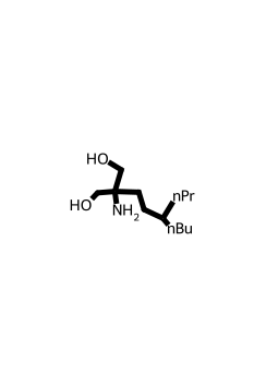 CCCCC(CCC)CCC(N)(CO)CO